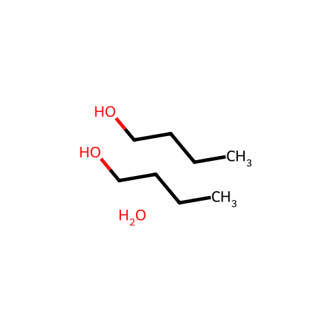 CCCCO.CCCCO.O